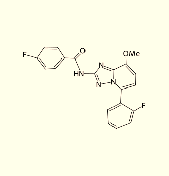 COc1ccc(-c2ccccc2F)n2nc(NC(=O)c3ccc(F)cc3)nc12